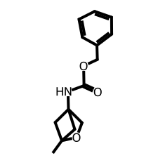 CC12CC(NC(=O)OCc3ccccc3)(CO1)C2